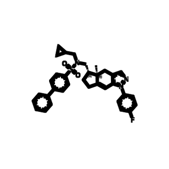 C[C@]12Cc3cnn(-c4ccc(F)cc4)c3C=C1CC[C@@H]2CN(CC1CC1)S(=O)(=O)c1ccc(-c2ccccc2)cc1